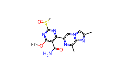 CCOc1nc([S+](C)[O-])nc(-c2cn3cc(C)nc3c(C)n2)c1C(N)=O